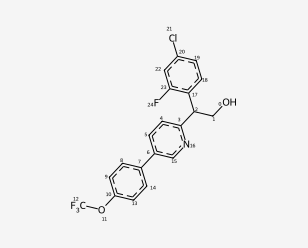 OCC(c1ccc(-c2ccc(OC(F)(F)F)cc2)cn1)c1ccc(Cl)cc1F